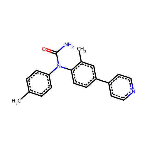 Cc1ccc(N(C(N)=O)c2ccc(-c3ccncc3)cc2C)cc1